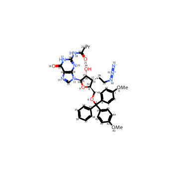 COc1ccc(C(OC[C@H]2O[C@@H](n3cnc4c(=O)[nH]c(NC(=O)C(C)C)nc43)[C@H](O)[C@@H]2CCN=[N+]=[N-])(c2ccccc2)c2ccc(OC)cc2)cc1